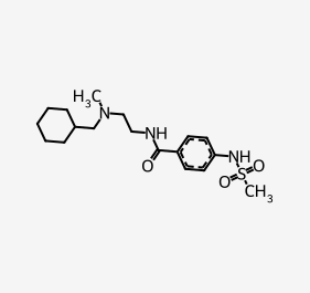 CN(CCNC(=O)c1ccc(NS(C)(=O)=O)cc1)CC1CCCCC1